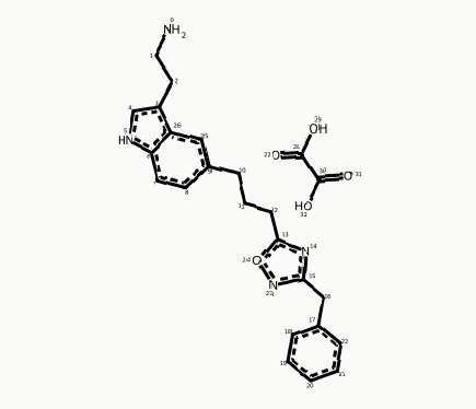 NCCc1c[nH]c2ccc(CCCc3nc(Cc4ccccc4)no3)cc12.O=C(O)C(=O)O